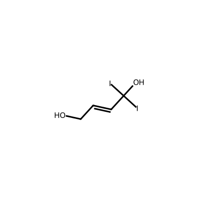 OCC=CC(O)(I)I